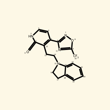 O=c1[nH]ccc(-c2noc(C(F)(F)F)n2)c1CCN1CCc2ccccc21